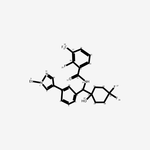 CCn1cc(-c2cccc(C(NC(=O)c3cccc(C(F)(F)F)c3F)C3(O)CCC(F)(F)CC3)c2)cn1